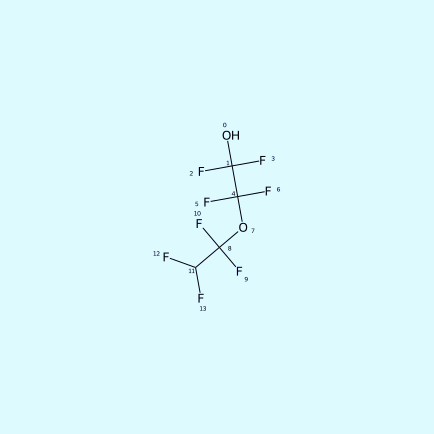 OC(F)(F)C(F)(F)OC(F)(F)C(F)F